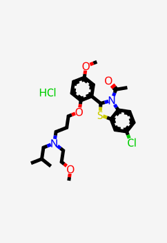 COCCN(CCCOc1ccc(OC)cc1C1Sc2cc(Cl)ccc2N1C(C)=O)CC(C)C.Cl